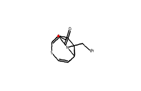 CC(C)CN1C(=O)C2=C3SC=CC1CC(C2)S3